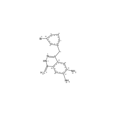 C=C1NN=C(Cc2cccc(Br)c2)c2cc(N)c(N)cc21